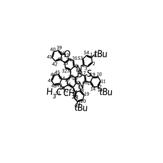 CC(C)(C)c1ccc(N2B3c4sc5ccc(C(C)(C)C)cc5c4-n4c5ccc(C(C)(C)C)cc5c5c6c(c(c3c54)-c3cc4c(cc32)oc2ccccc24)-c2ccccc2C6(C)C)cc1